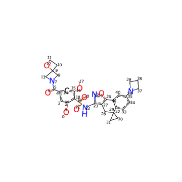 COc1cc(C(=O)N2CC3(CCO3)C2)cc(OC)c1S(=O)(=O)Nc1noc2c1CC1(CC1)c1ccc(N3CCC3)cc1-2